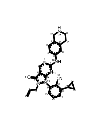 C=CCn1c(=O)c2cnc(Nc3ccc4c(c3)CCNC4)nc2n1-c1cccc(C2CC2)c1C#N